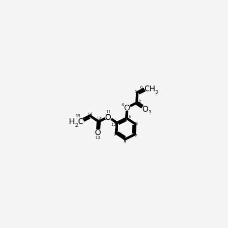 C=CC(=O)Oc1[c]cccc1OC(=O)C=C